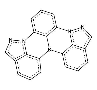 c1cc2c3c(c1)-n1ncc4cccc(c41)B3c1cccc3cnn-2c13